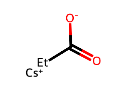 CCC(=O)[O-].[Cs+]